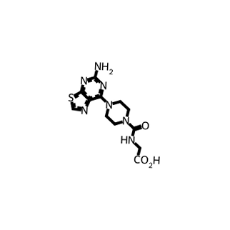 Nc1nc(N2CCN(C(=O)NCC(=O)O)CC2)c2ncsc2n1